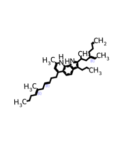 C=CCC/C(=C\C)CC(C)c1[nH]c2c3c(ccc2c1CCC)C(CC/C=C/C/C(C)=C/CCC)=C=C(C)N3